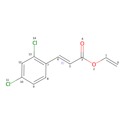 C=COC(=O)/C=C/c1ccc(Cl)cc1Cl